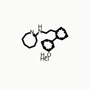 Cl.O.c1ccc(-c2ccccc2CCN/C2=N/CCCCCC2)cc1